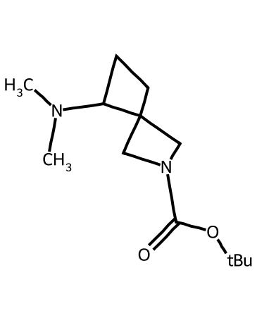 CN(C)C1CCC12CN(C(=O)OC(C)(C)C)C2